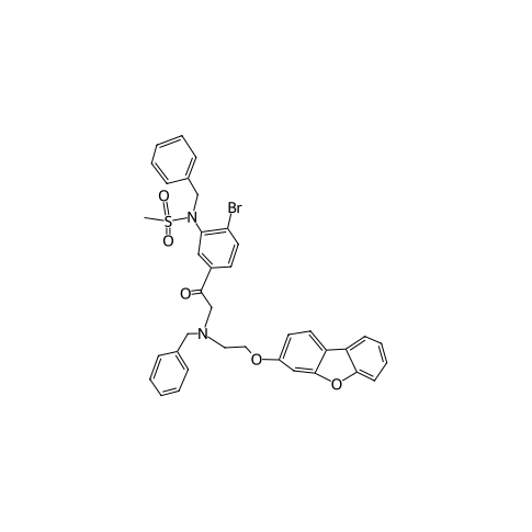 CS(=O)(=O)N(Cc1ccccc1)c1cc(C(=O)CN(CCOc2ccc3c(c2)oc2ccccc23)Cc2ccccc2)ccc1Br